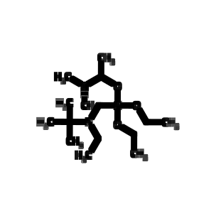 CCO[Si](CN(CC)C(C)(C)C)(OCC)OC(C)[SiH](C)C